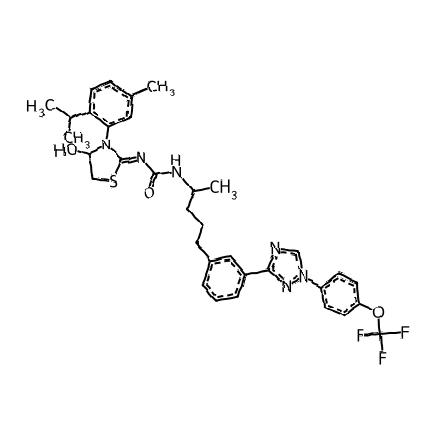 Cc1ccc(C(C)C)c(N2/C(=N/C(=O)NC(C)CCCc3cccc(-c4ncn(-c5ccc(OC(F)(F)F)cc5)n4)c3)SCC2O)c1